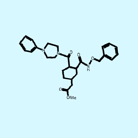 COC(=O)CC1CCC(C(=O)N2CCN(c3ccccc3)CC2)C(C(=O)NOCc2ccccc2)C1